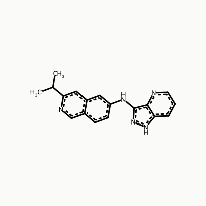 CC(C)c1cc2cc(Nc3n[nH]c4cccnc34)ccc2cn1